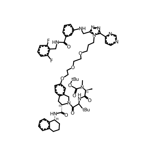 C[C@@H](C(=O)NC(C(=O)N1Cc2cc(OCCOCCOCCCn3c(CNc4cccc(C(=O)NCc5c(F)cccc5F)c4)nnc3-c3ccncn3)ccc2C[C@H]1C(=O)N[C@@H]1CCCc2ccccc21)C(C)(C)C)N(C)C(=O)OC(C)(C)C